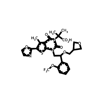 Cc1c(-c2ncco2)sc2c1c(=O)n(C(C)(C)C(=O)O)c(=O)n2CC(OCC1COC1)c1ccccc1OC(F)(F)F